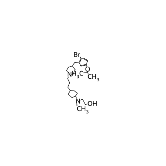 CCN(CCO)C1CCC(CCCN2CCC(Cc3cc(OC(C)C)ccc3Br)CC2)CC1